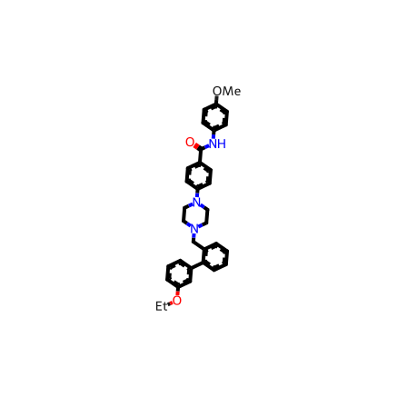 CCOc1cccc(-c2ccccc2CN2CCN(c3ccc(C(=O)Nc4ccc(OC)cc4)cc3)CC2)c1